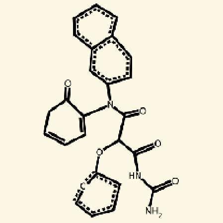 NC(=O)NC(=O)C(Oc1ccccc1)C(=O)N(C1=CC=CCC1=O)c1ccc2ccccc2c1